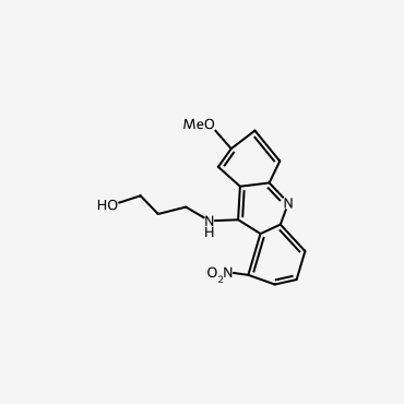 COc1ccc2nc3cccc([N+](=O)[O-])c3c(NCCCO)c2c1